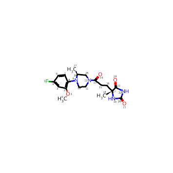 COc1cc(F)ccc1N1CCN(C(=O)CC[C@@]2(C)NC(=O)NC2=O)C[C@@H]1C